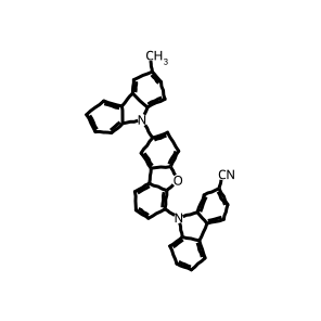 Cc1ccc2c(c1)c1ccccc1n2-c1ccc2oc3c(-n4c5ccccc5c5ccc(C#N)cc54)cccc3c2c1